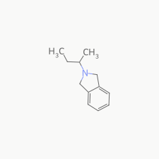 CCC(C)N1Cc2ccccc2C1